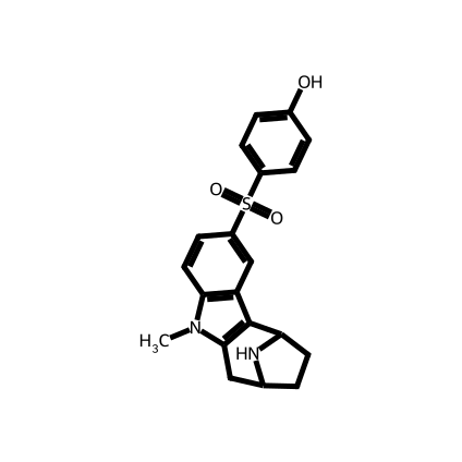 Cn1c2c(c3cc(S(=O)(=O)c4ccc(O)cc4)ccc31)C1CCC(C2)N1